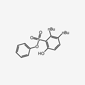 CCCCc1ccc(O)c(S(=O)(=O)Oc2ccccc2)c1CCCC